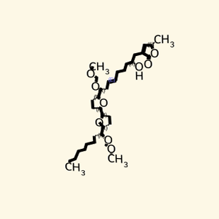 CCCCCCCC[C@@H](OCOC)[C@H]1CC[C@H]([C@H]2CC[C@H]([C@@H](C/C=C/CCC[C@@H](O)CC3=C[C@H](C)OC3=O)OCOC)O2)O1